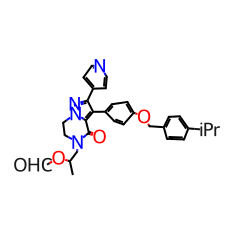 CC(CN1CCn2nc(-c3ccncc3)c(-c3ccc(OCc4ccc(C(C)C)cc4)cc3)c2C1=O)OC=O